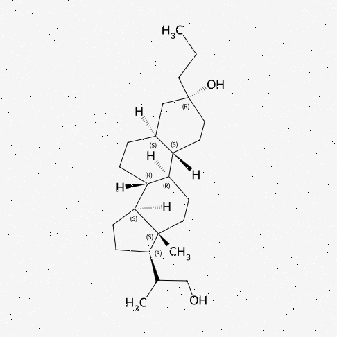 CCC[C@@]1(O)CC[C@H]2[C@@H](CC[C@@H]3[C@@H]2CC[C@]2(C)[C@@H](C(C)CO)CC[C@@H]32)C1